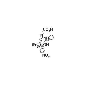 CC(C)CN(C[C@@H](O)[C@H](Cc1ccccc1)NC(=O)N(C)CCC(=O)O)S(=O)(=O)c1ccc([N+](=O)[O-])cc1